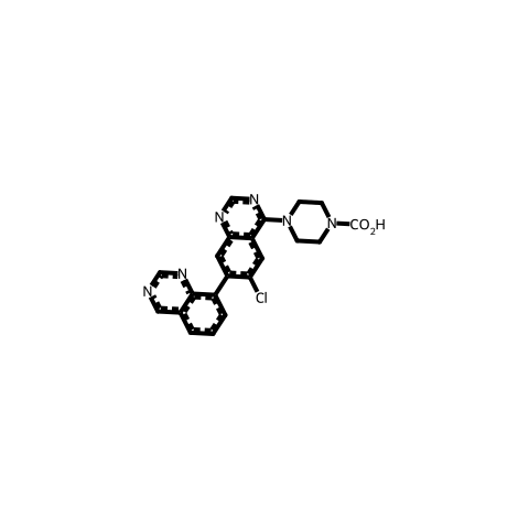 O=C(O)N1CCN(c2ncnc3cc(-c4cccc5cncnc45)c(Cl)cc23)CC1